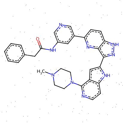 CN1CCN(c2nccc3[nH]c(-c4n[nH]c5ccc(-c6cncc(NC(=O)Cc7ccccc7)c6)nc45)cc23)CC1